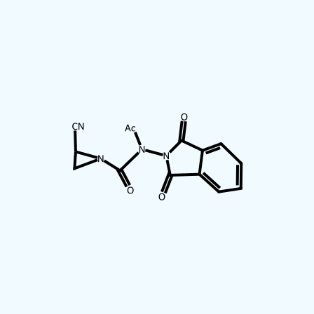 CC(=O)N(C(=O)N1CC1C#N)N1C(=O)c2ccccc2C1=O